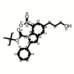 CC(C)(C)OC(=O)n1c(-c2ccccc2)cc2cc(CCCO)cc([N+](=O)[O-])c21